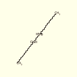 CCCCCCCCCCCCCCCCCCCC(=O)NCCCCCCNC(=O)CCCCCCCCCCCCCCCCCCC